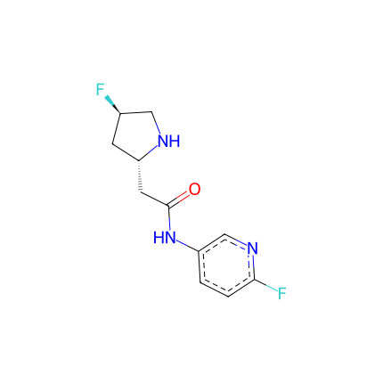 O=C(C[C@@H]1C[C@@H](F)CN1)Nc1ccc(F)nc1